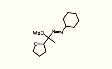 COC(C)(N=NC1CCCCC1)C1CCCO1